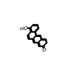 O=C1C=c2cc3ccc4c(O)cccc4c3cc2=CC1